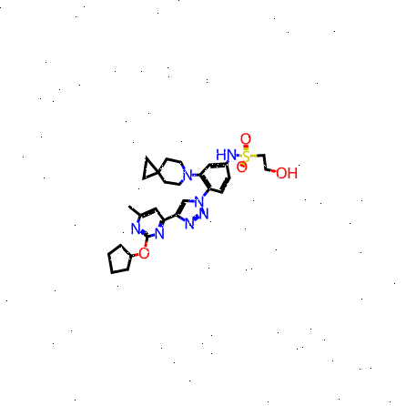 Cc1cc(-c2cn(-c3ccc(NS(=O)(=O)CCO)cc3N3CCC4(CC3)CC4)nn2)nc(OC2CCCC2)n1